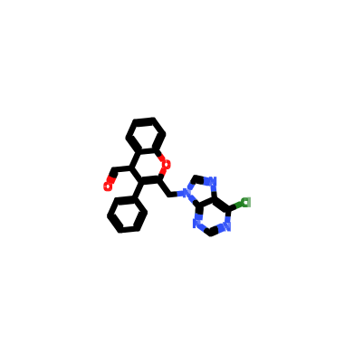 O=CC1C(c2ccccc2)=C(Cn2cnc3c(Cl)ncnc32)Oc2ccccc21